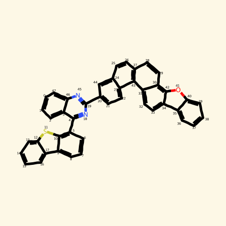 c1ccc2c(-c3cccc4c3sc3ccccc34)nc(-c3ccc4c(ccc5ccc6c(ccc7c8ccccc8oc76)c54)c3)nc2c1